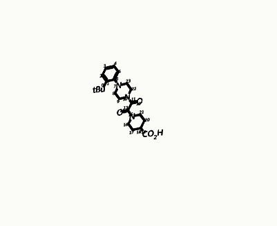 CC(C)(C)c1ccccc1N1CCN(C(=O)C(=O)N2CCC(C(=O)O)CC2)CC1